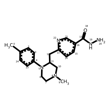 Cc1ccc(N2CCN(C)CC2Cc2ccc(C(=O)NN)cn2)cc1